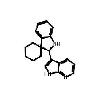 c1ccc2c(c1)NC(c1c[nH]c3ncccc13)C21CCCCC1